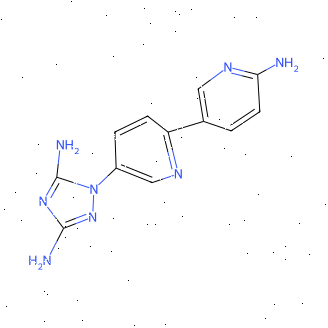 Nc1ccc(-c2ccc(-n3nc(N)nc3N)cn2)cn1